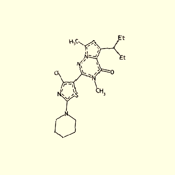 CCC(CC)c1cc(C)n2nc(-c3sc(N4CCCCC4)nc3Cl)n(C)c(=O)c12